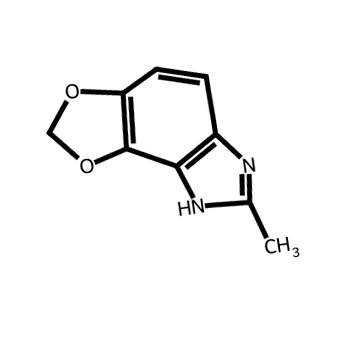 Cc1nc2ccc3c(c2[nH]1)OCO3